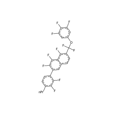 CCCc1ccc(-c2cc3ccc(C(F)(F)Oc4cc(F)c(F)c(F)c4)c(F)c3c(F)c2F)c(F)c1F